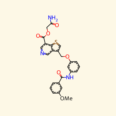 COc1cccc(C(=O)Nc2cccc(OCc3csc4c(C(=O)OCC(N)=O)cncc34)c2)c1